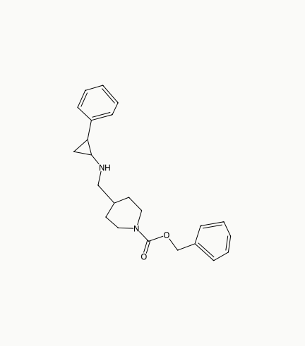 O=C(OCc1ccccc1)N1CCC(CNC2CC2c2ccccc2)CC1